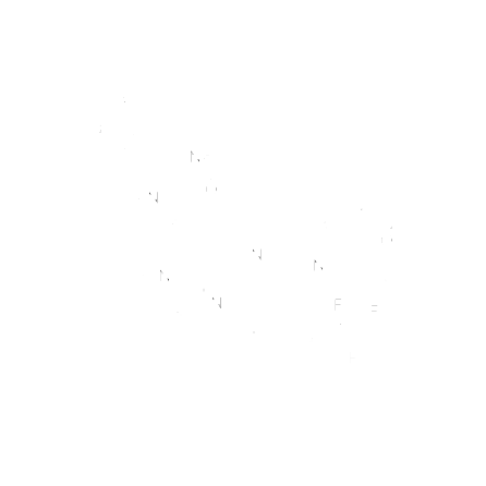 FC(F)(F)c1cccc2c1c(N1CCOCC1)nc1c(-c3nc(C4CC4)no3)ncn12